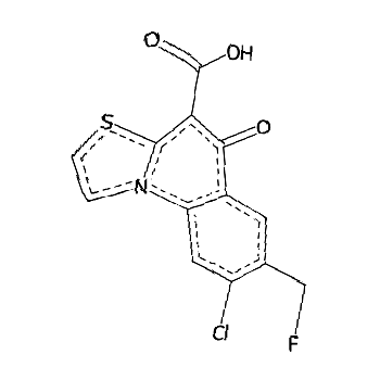 O=C(O)c1c(=O)c2cc(CF)c(Cl)cc2n2ccsc12